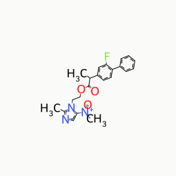 Cc1ncc([N+](C)=O)n1CCOC(=O)C(C)c1ccc(-c2ccccc2)c(F)c1